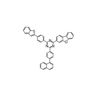 c1ccc2sc(-c3ccc(-c4nc(-c5ccc(-c6cccc7ccccc67)cc5)nc(-c5ccc6c(c5)oc5ccccc56)n4)cc3)cc2c1